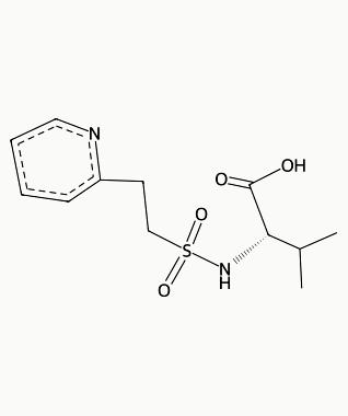 CC(C)[C@H](NS(=O)(=O)CCc1ccccn1)C(=O)O